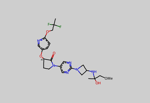 COCC(C)(O)NC1CN(c2ncc(N3CC[C@@H](Oc4ccc(OCC(C)(F)F)nc4)C3=O)cn2)C1